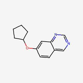 c1ncc2ccc(OC3CCCC3)cc2n1